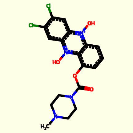 CN1CCN(C(=O)Oc2cccc3c2[n+](O)c2cc(Cl)c(Cl)cc2[n+]3O)CC1